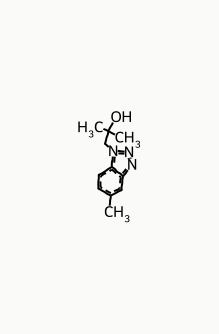 Cc1ccc2c(c1)nnn2CC(C)(C)O